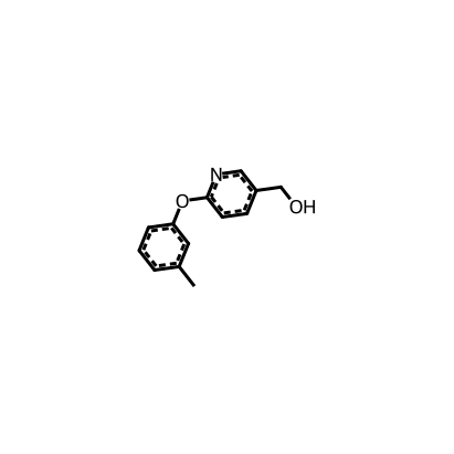 Cc1cccc(Oc2ccc(CO)cn2)c1